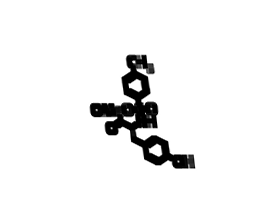 COC(=O)[C@H](Cc1ccc(O)cc1)NS(=O)(=O)c1ccc(C)cc1